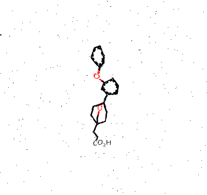 O=C(O)CCC12CCC(c3cccc(Oc4ccccc4)c3)(CC1)OC2